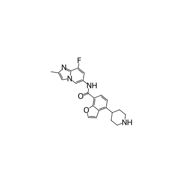 Cc1cn2cc(NC(=O)c3ccc(C4CCNCC4)c4ccoc34)cc(F)c2n1